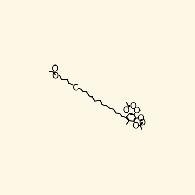 COc1c(OC(C)=O)c(C)c(CCCCCCCCCCCCCCCCCCCCOC(C)=O)c(OC(C)=O)c1OC